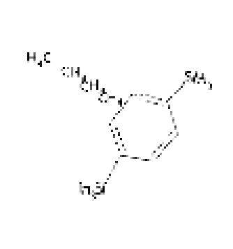 C.C.C.C.[SiH3]c1ccc([SiH3])cc1